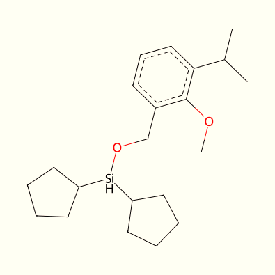 COc1c(CO[SiH](C2CCCC2)C2CCCC2)cccc1C(C)C